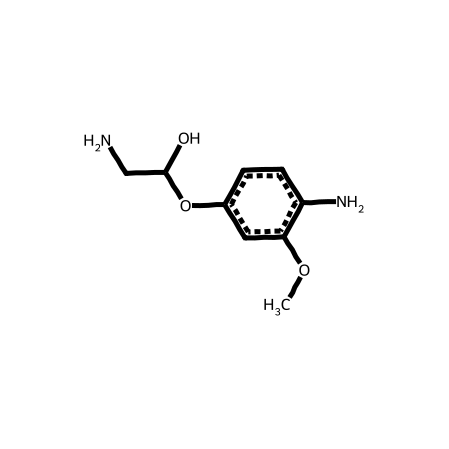 COc1cc(OC(O)CN)ccc1N